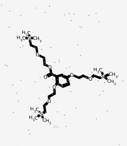 C[Si](C)(C)CCOCCOC(=O)c1cc(OCCOCC[Si](C)(C)C)ccc1OCCOCC[Si](C)(C)C